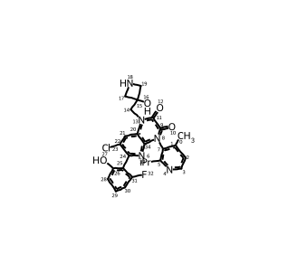 Cc1ccnc(C(C)C)c1-n1c(=O)c(=O)n(CC2(O)CNC2)c2cc(Cl)c(-c3c(O)cccc3F)nc21